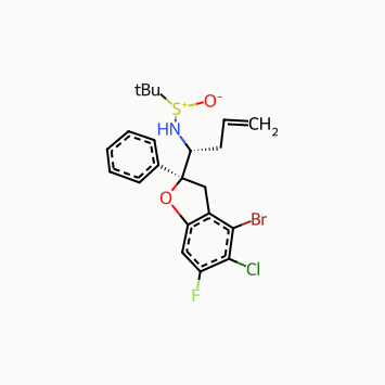 C=CC[C@@H](N[S+]([O-])C(C)(C)C)[C@@]1(c2ccccc2)Cc2c(cc(F)c(Cl)c2Br)O1